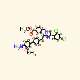 COC(=O)c1ccc(Cn2cc(-c3ccc(Cl)cc3Cl)nc2C=Cc2ccc(-c3ccc(N)c(OC)c3)cc2)cc1